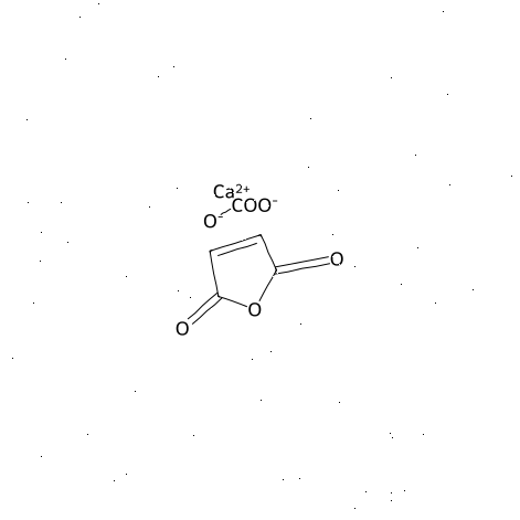 O=C([O-])[O-].O=C1C=CC(=O)O1.[Ca+2]